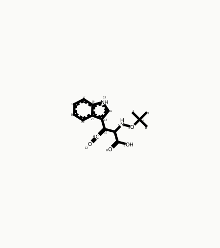 CC(C)(C)ONC(C(=O)O)C(=C=O)c1c[nH]c2ccccc12